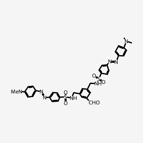 CNc1ccc(/N=N/c2ccc(S(=O)(=O)NCc3cc(C=O)cc(CNS(=O)(=O)c4ccc(/N=N/c5ccc(N(C)C)cc5)cc4)c3)cc2)cc1